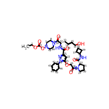 CCOC(=O)ON1CCN(C(=O)[C@H](CCCCO)NC(=O)c2cc(OCC(=O)N3CCC[C@H]3C(=O)NC3CCC3)n(-c3ccccc3)n2)CC1